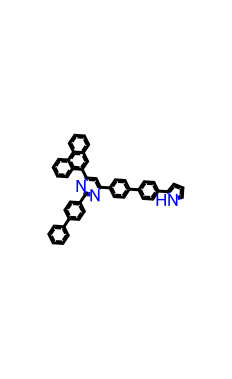 c1ccc(-c2ccc(-c3nc(-c4ccc(-c5ccc(-c6ccc[nH]6)cc5)cc4)cc(-c4cc5ccccc5c5ccccc45)n3)cc2)cc1